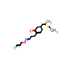 CCSC(C)CC1CC=C(CC/C=N/OC/C=C/Cl)C(=O)C1